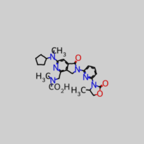 CC1COC(=O)N1c1cccc(N2Cc3c(cc(N(C)C4CCCC4)nc3CN(C)C(=O)O)C2=O)n1